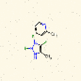 CC1=C(F)N(F)N(F)N1.Cc1ccccn1